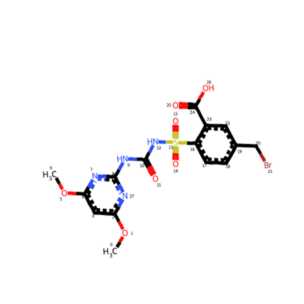 COc1cc(OC)nc(NC(=O)NS(=O)(=O)c2ccc(CBr)cc2C(=O)O)n1